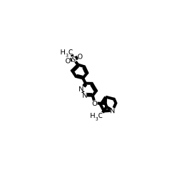 CC1C(Oc2ccc(-c3ccc(S(C)(=O)=O)cc3)nn2)C2CCN1CC2